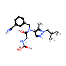 Cc1c(N(Cc2cccc(C#N)c2)C(=O)CNC(=O)O)cnn1CC(C)C